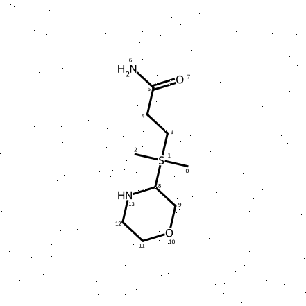 CS(C)(CCC(N)=O)C1COCCN1